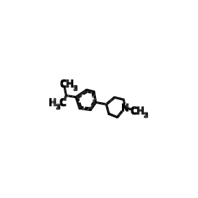 CC(C)c1ccc(C2CCN(C)CC2)cc1